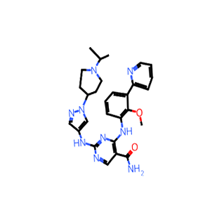 COc1c(Nc2nc(Nc3cnn(C4CCN(C(C)C)CC4)c3)ncc2C(N)=O)cccc1-c1ccccn1